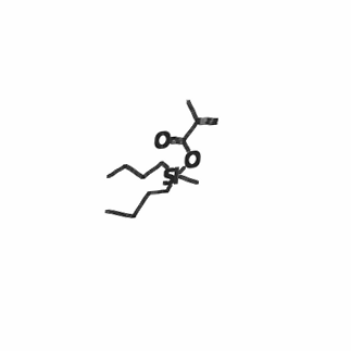 C=C(C)C(=O)O[Si](C)(CCCC)CCCC